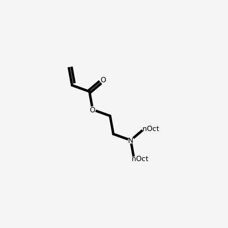 C=CC(=O)OCCN(CCCCCCCC)CCCCCCCC